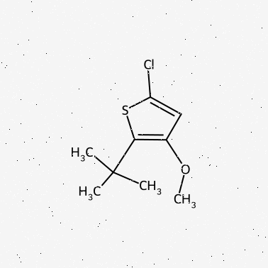 COc1cc(Cl)sc1C(C)(C)C